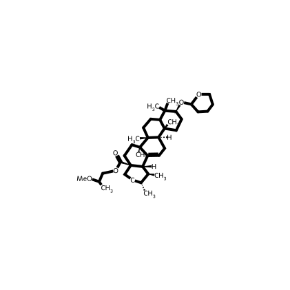 COC(C)COC(=O)[C@]12CC[C@@H](C)[C@H](C)[C@H]1C1=CC[C@@H]3[C@@]4(C)CC[C@H](OC5CCCCO5)C(C)(C)C4CC[C@@]3(C)[C@]1(C)CC2